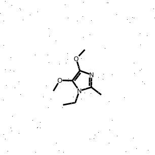 CCn1c(C)nc(OC)c1OC